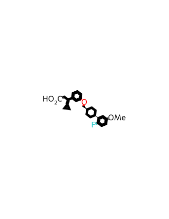 COc1ccc(F)c([C@H]2CC[C@H](COc3cccc(C(CC(=O)O)=C4CC4)c3)CC2)c1